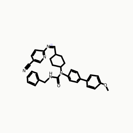 COc1ccc(-c2ccc(N(C(=O)NCc3ccccc3)C3CCC(/C=N\c4ccc(C#N)cn4)CC3)cc2)cc1